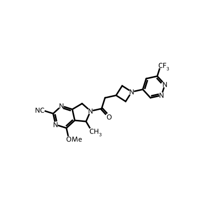 COc1nc(C#N)nc2c1C(C)N(C(=O)CC1CN(c3cnnc(C(F)(F)F)c3)C1)C2